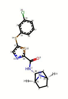 O=C(N[C@@H]1C[C@H]2CC[C@@H]1N2)c1ncc(Sc2cccc(Cl)c2)s1